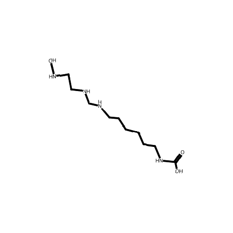 O=C(O)NCCCCCCNCNCCNO